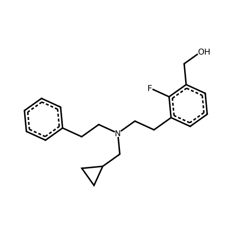 OCc1cccc(CCN(CCc2ccccc2)CC2CC2)c1F